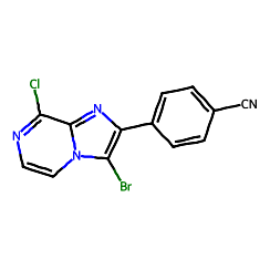 N#Cc1ccc(-c2nc3c(Cl)nccn3c2Br)cc1